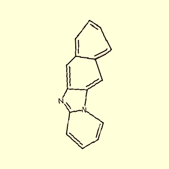 c1ccc2cc3c(cc2c1)nc1ccccn13